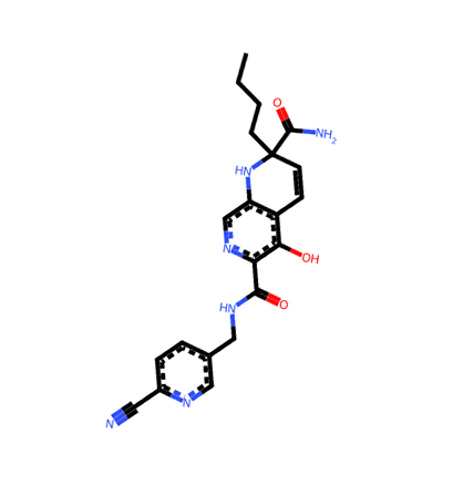 CCCCC1(C(N)=O)C=Cc2c(cnc(C(=O)NCc3ccc(C#N)nc3)c2O)N1